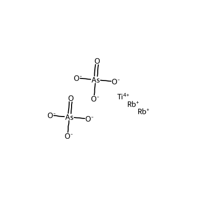 O=[As]([O-])([O-])[O-].O=[As]([O-])([O-])[O-].[Rb+].[Rb+].[Ti+4]